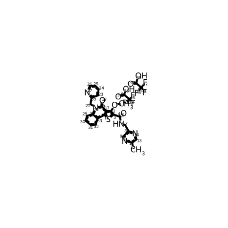 COc1c(C(=O)NCc2cnc(C)cn2)sc2c1c(=O)n(Cc1ccccn1)c1ccccc21.O=C(O)C(F)(F)F.O=C(O)C(F)(F)F